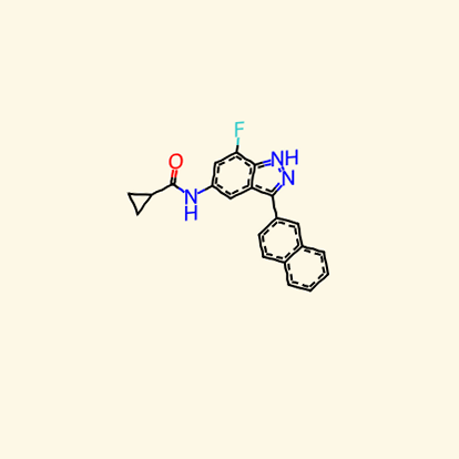 O=C(Nc1cc(F)c2[nH]nc(-c3ccc4ccccc4c3)c2c1)C1CC1